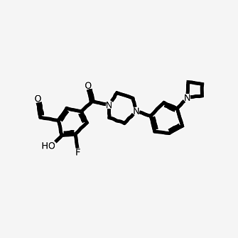 O=Cc1cc(C(=O)N2CCN(c3cccc(N4CCC4)c3)CC2)cc(F)c1O